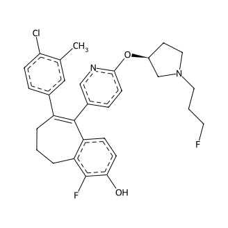 Cc1cc(C2=C(c3ccc(O[C@H]4CCN(CCCF)C4)nc3)c3ccc(O)c(F)c3CCC2)ccc1Cl